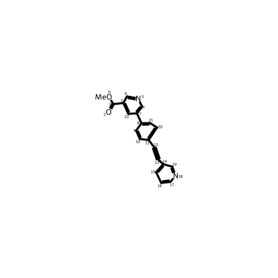 COC(=O)c1cncc(-c2ccc(C#Cc3cccnc3)cc2)c1